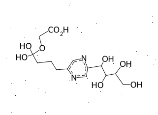 O=C(O)COC(O)(O)CCCc1cnc(C(O)C(O)C(O)CO)cn1